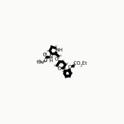 CCOC(=O)COc1ccccc1[C@H]1CC[C@@H](OCC2NCCCC2NC(=O)OC(C)(C)C)CO1